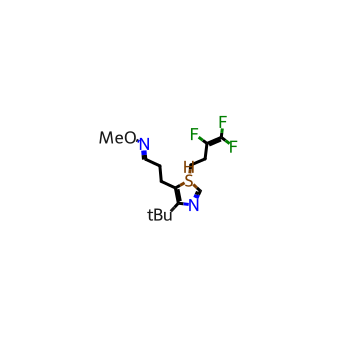 CO/N=C/CCC1=C(C(C)(C)C)N=C[SH]1CCC(F)=C(F)F